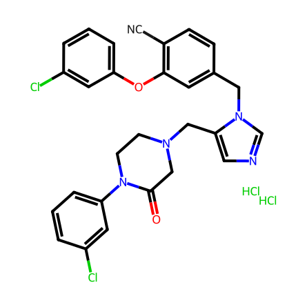 Cl.Cl.N#Cc1ccc(Cn2cncc2CN2CCN(c3cccc(Cl)c3)C(=O)C2)cc1Oc1cccc(Cl)c1